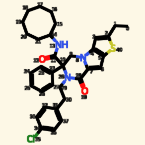 CCc1cc2c(cc3n2CC(C(=O)NC2CCCCCCC2)(c2ccccc2)N(CCc2ccc(Cl)cc2)C3=O)s1